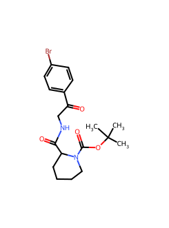 CC(C)(C)OC(=O)N1CCCCC1C(=O)NCC(=O)c1ccc(Br)cc1